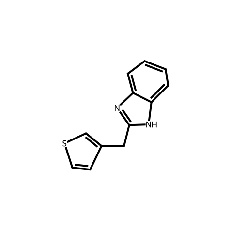 c1ccc2[nH]c(Cc3ccsc3)nc2c1